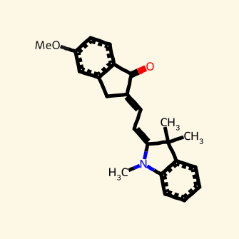 COc1ccc2c(c1)CC(=CC=C1N(C)c3ccccc3C1(C)C)C2=O